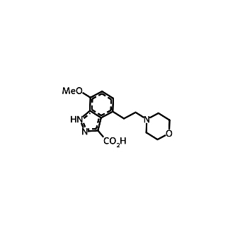 COc1ccc(CCN2CCOCC2)c2c(C(=O)O)n[nH]c12